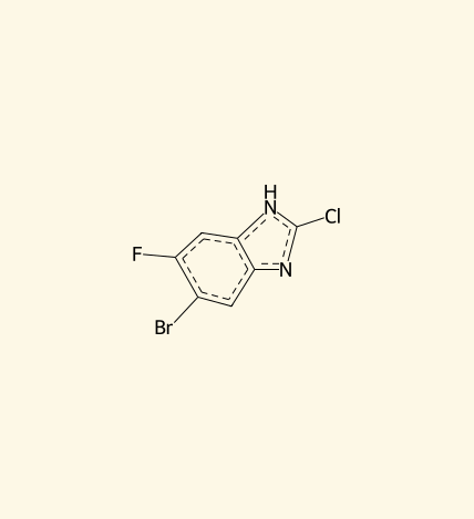 Fc1cc2[nH]c(Cl)nc2cc1Br